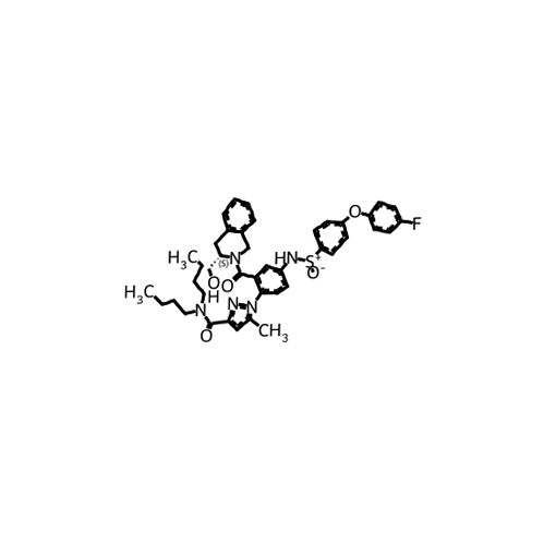 CCCCN(CCCC)C(=O)c1cc(C)n(-c2ccc(N[S+]([O-])c3ccc(Oc4ccc(F)cc4)cc3)cc2C(=O)N2Cc3ccccc3C[C@H]2CO)n1